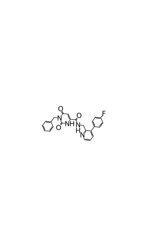 O=C(NCc1ncccc1-c1ccc(F)cc1)c1cc(=O)n(Cc2ccccc2)c(=O)[nH]1